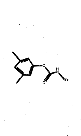 [CH2]C(C)NC(=O)Oc1cc(C)cc(C)c1